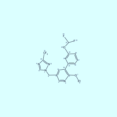 CCOc1ncc(Cn2cnc(C(F)(F)F)n2)cc1-c1cccc(OC(F)F)c1